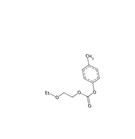 CCOCCOC(=O)Oc1ccc(C)cc1